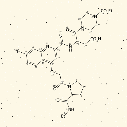 CCNC(=O)C1CCCN1C(=O)COc1cc(C(=O)NC(CC(=O)O)C(=O)N2CCN(C(=O)OCC)CC2)nc2cc(F)ccc12